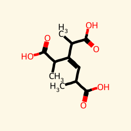 CC(C=C(C(C)C(=O)O)C(C)C(=O)O)C(=O)O